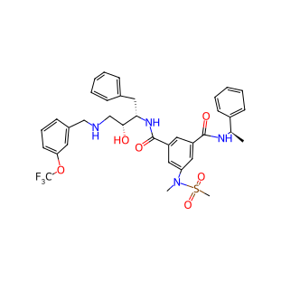 C[C@@H](NC(=O)c1cc(C(=O)N[C@@H](Cc2ccccc2)[C@H](O)CNCc2cccc(OC(F)(F)F)c2)cc(N(C)S(C)(=O)=O)c1)c1ccccc1